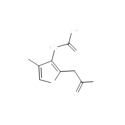 CC(=O)Nc1c(Cl)csc1CC(=O)O